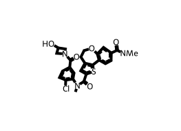 CNC(=O)c1ccc2c(c1)OCCc1cc(C(=O)N(C)c3cc(C(=O)N4CC(O)C4)ccc3Cl)sc1-2